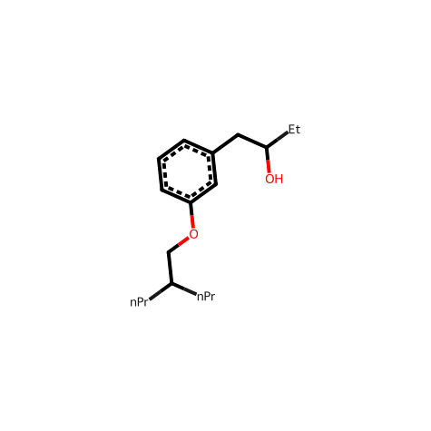 CCCC(CCC)COc1cccc(CC(O)CC)c1